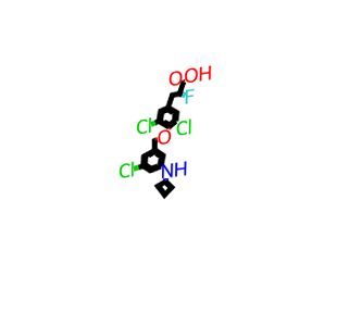 O=C(O)C(F)Cc1cc(Cl)c(OCc2cc(Cl)cc(NC3CCC3)c2)c(Cl)c1